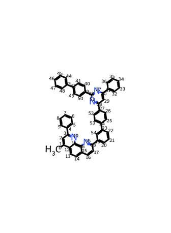 Cc1cc(-c2ccccc2)nc2c1ccc1ccc(-c3cccc(-c4ccc(-c5cc(-c6ccccc6)nc(-c6ccc(-c7ccccc7)cc6)n5)cc4)c3)nc12